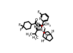 Cc1nnc(C(C)C)n1[C@@H]1C[C@H]2CC[C@@H](C1)N2CC[C@H](NC(=O)C1CCC(F)(F)CC1)c1cccc(F)n1